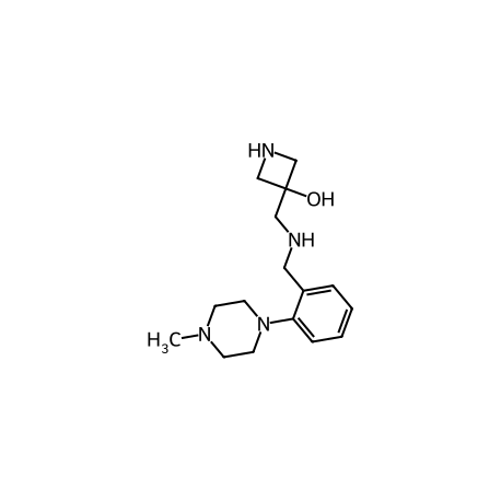 CN1CCN(c2ccccc2CNCC2(O)CNC2)CC1